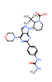 CNC(=O)Nc1ccc(-c2nc(N3CCOCC3)c3cnn([C@@H]4CCCN(C(=O)O)C4C(C)(C)C)c3n2)cc1